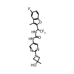 Cc1c(C(NC(=O)Nc2cnc(N3CC(C)(O)C3)nc2)C(F)(F)F)oc2ccc(F)cc12